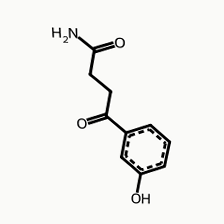 NC(=O)CCC(=O)c1cccc(O)c1